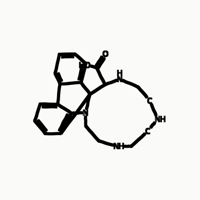 O=C(O)C1NCCNCCNCCN2c3c4cccc3C12c1ccccc1-4